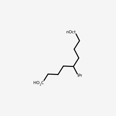 CCCCCCCCCCCC(CCCC(=O)O)C(C)C